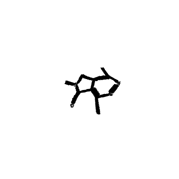 Cc1nnc(C)c2c1CN(C)C2=O